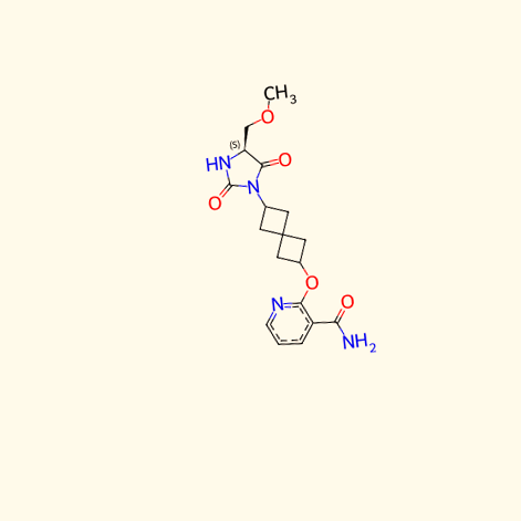 COC[C@@H]1NC(=O)N(C2CC3(CC(Oc4ncccc4C(N)=O)C3)C2)C1=O